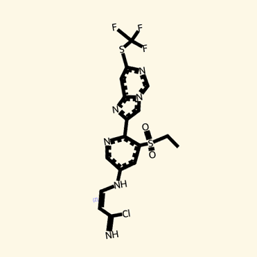 CCS(=O)(=O)c1cc(N/C=C\C(=N)Cl)cnc1-c1cn2cnc(SC(F)(F)F)cc2n1